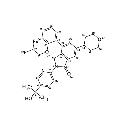 CC(C)(O)c1ccc(N2Cc3c(cc(C4CCOCC4)nc3-c3ccccc3OCC(F)F)C2=O)cc1